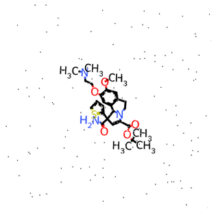 COc1cc2c(cc1OCCN(C)C)C1N(CC2)C(C(=O)OC(C)(C)C)=CC1(C(N)=O)c1cccs1